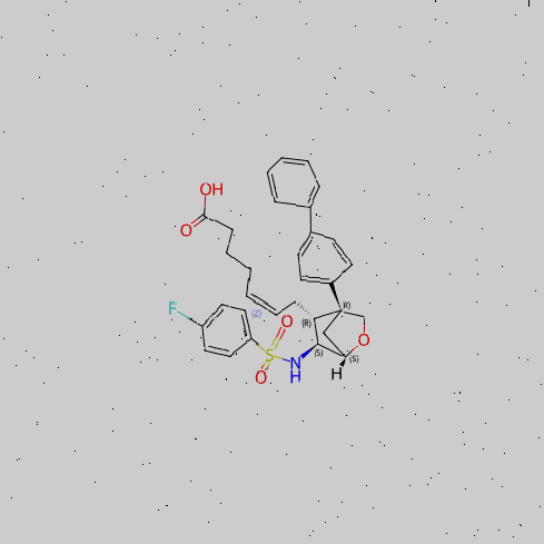 O=C(O)CCC/C=C\C[C@H]1[C@H](NS(=O)(=O)c2ccc(F)cc2)[C@@H]2C[C@@]1(c1ccc(-c3ccccc3)cc1)CO2